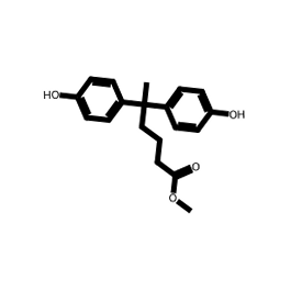 COC(=O)CCCC(C)(c1ccc(O)cc1)c1ccc(O)cc1